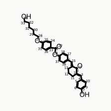 O=C1/C(=C/c2ccc(O)cc2)CCC/C1=C\c1ccc(OC(=O)c2ccc(OCCCCCCO)cc2)cc1